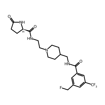 O=C1CC[C@H](C(=O)NCCN2CCC(CNC(=O)c3cc(CF)cc(C(F)(F)F)c3)CC2)N1